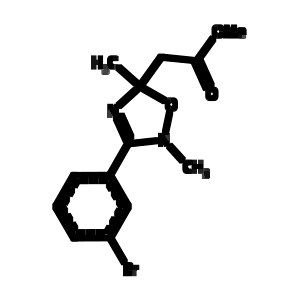 COC(=O)CC1(C)N=C(c2cccc(Br)c2)N(C)O1